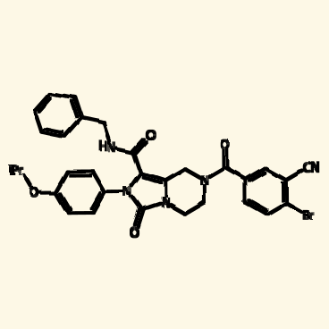 CC(C)Oc1ccc(-n2c(C(=O)NCc3ccccc3)c3n(c2=O)CCN(C(=O)c2ccc(Br)c(C#N)c2)C3)cc1